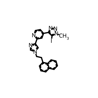 Cn1nnc(-c2ccnc(-c3cn(CCc4cccc5ccccc45)cn3)c2)c1I